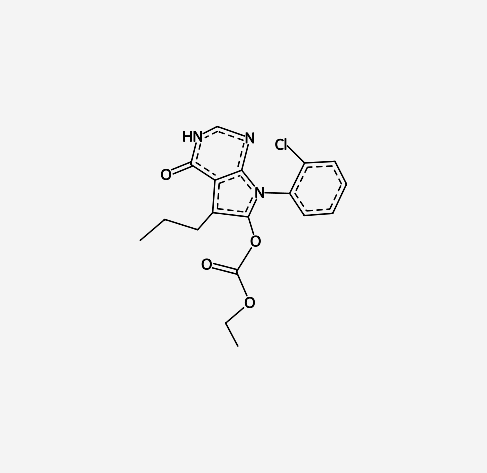 CCCc1c(OC(=O)OCC)n(-c2ccccc2Cl)c2nc[nH]c(=O)c12